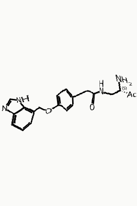 CC(=O)[C@@H](N)CNC(=O)Cc1ccc(OCc2cccc3nc[nH]c23)cc1